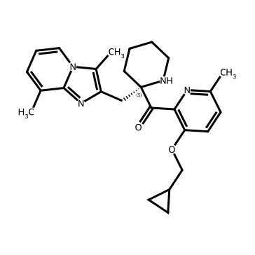 Cc1ccc(OCC2CC2)c(C(=O)[C@@]2(Cc3nc4c(C)cccn4c3C)CCCCN2)n1